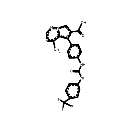 Nc1ncnn2cc(C(=O)O)c(-c3ccc(NC(=O)Nc4ccc(C(F)(F)F)cc4)cc3)c12